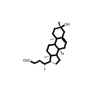 C[C@H](CCC=O)[C@H]1CCC2[C@@H]3CC=C4C[C@@](C)(O)CC[C@]4(C)C3CC[C@@]21C